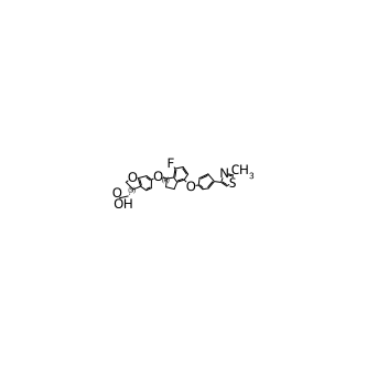 Cc1nc(-c2ccc(Oc3ccc(F)c4c3CC[C@H]4Oc3ccc4c(c3)OC[C@H]4CC(=O)O)cc2)cs1